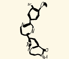 COc1ccc(-c2nccc(-c3cc4n(n3)CCNC4=O)n2)cc1Br